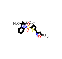 CC1(c2ccccc2)CC1(NS(=O)(=O)c1ccc(-c2cc(C(F)(F)F)on2)s1)C(=O)O